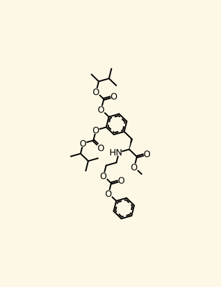 COC(=O)[C@H](Cc1ccc(OC(=O)OC(C)C(C)C)c(OC(=O)OC(C)C(C)C)c1)NCCOC(=O)Oc1ccccc1